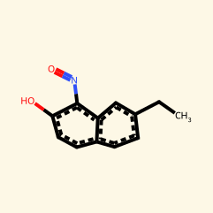 CCc1ccc2ccc(O)c(N=O)c2c1